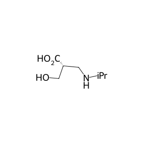 CC(C)NC[C@H](CO)C(=O)O